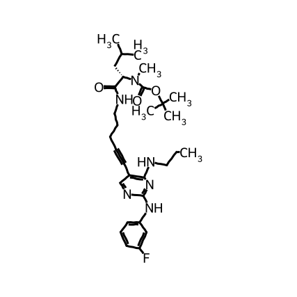 CCCNc1nc(Nc2cccc(F)c2)ncc1C#CCCCNC(=O)[C@H](CC(C)C)N(C)C(=O)OC(C)(C)C